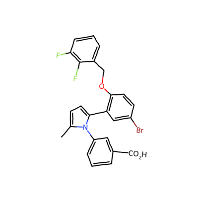 Cc1ccc(-c2cc(Br)ccc2OCc2cccc(F)c2F)n1-c1cccc(C(=O)O)c1